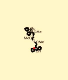 COC(CCC(C)(C)[Si](O)(c1ccccc1)c1ccccc1)COCC(COCC(CO[Si](c1ccccc1)(c1ccccc1)C(C)(C)C)OC)OC